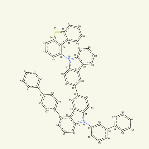 c1ccc(-c2ccc(-c3cccc4c3c3cc(-c5ccc6c(c5)c5ccccc5n6-c5cccc6sc7ccccc7c56)ccc3n4-c3cccc(-c4ccccc4)c3)cc2)cc1